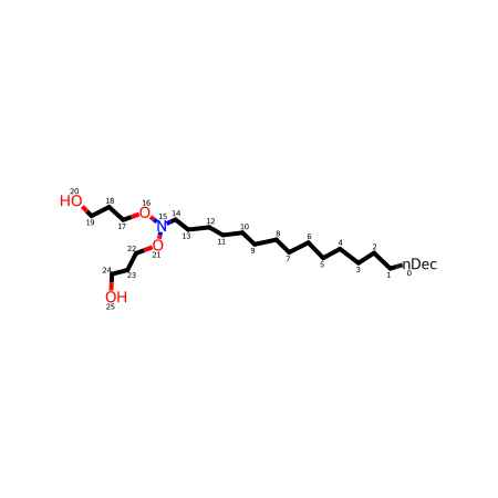 CCCCCCCCCCCCCCCCCCCCCCCCN(OCCCO)OCCCO